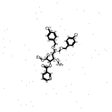 CCCO[C@H]1[C@@H]([C@@H](COCc2ccc(Cl)cc2)OCc2ccc(Cl)cc2)OC(OCC)[C@@H]1OC(=O)c1cccnc1